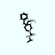 CC(C)NC(=O)N1CCC(CN)(Cc2ccccc2)CC1